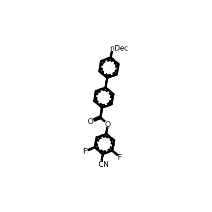 CCCCCCCCCCc1ccc(-c2ccc(C(=O)Oc3cc(F)c(C#N)c(F)c3)cc2)cc1